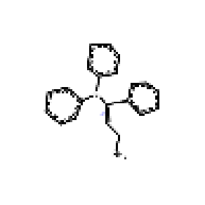 NC/C=C(/B(c1ccccc1)c1ccccc1)c1ccccc1